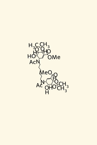 COC(=O)C1=C[C@H](N(CCCCCCN(C(C)=O)[C@H]2C=C(C(=O)OC)[C@H]3OC(C)(C)O[C@H]3[C@@H]2O)C(C)=O)[C@@H](O)[C@@H]2OC(C)(C)O[C@H]12